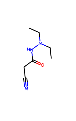 CCN(CC)NC(=O)CC#N